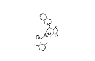 Cc1cccc(C)c1C(=O)NCC(c1scnc1C)N1CCc2ccccc2C1